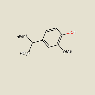 CCCCCC(C(=O)O)c1ccc(O)c(OC)c1